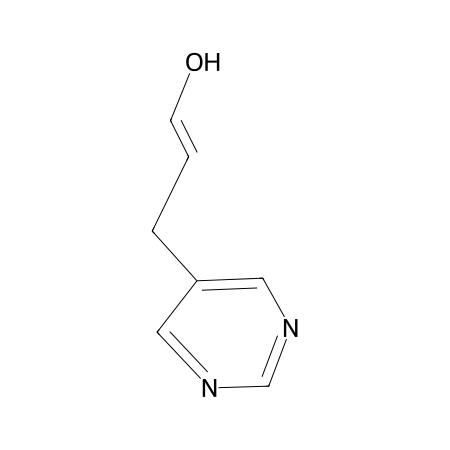 OC=CCc1cncnc1